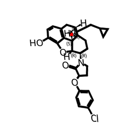 O=C1C(Oc2ccc(Cl)cc2)CCN1[C@@H]1CC[C@@]2(O)[C@H]3Cc4ccc(O)c5c4[C@@]2(CCN3CC2CC2)[C@H]1O5